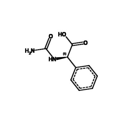 NC(=O)N[C@@H](C(=O)O)c1ccccc1